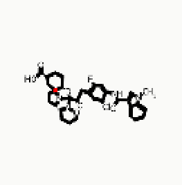 Cn1cc(C(=O)Nc2cc(F)c(CC(=O)C(O[C@H]3CC[C@H](C(=O)O)CC3)(N3CCCC3)N3CCCCO3)cc2Cl)c2ccccc21